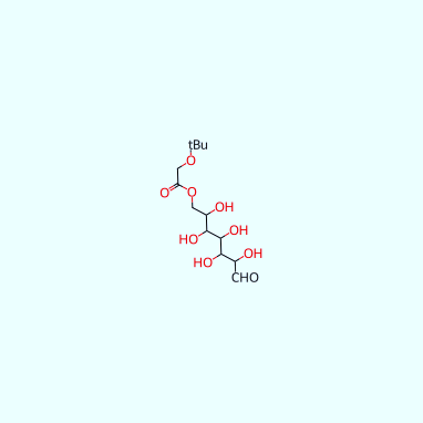 CC(C)(C)OCC(=O)OCC(O)C(O)C(O)C(O)C(O)C=O